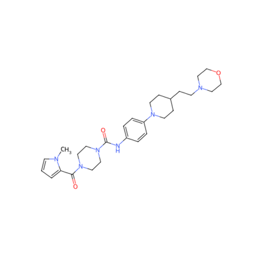 Cn1cccc1C(=O)N1CCN(C(=O)Nc2ccc(N3CCC(CCN4CCOCC4)CC3)cc2)CC1